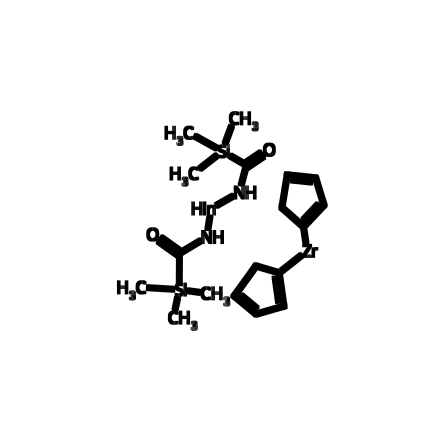 C1=CC[C]([Zr][C]2=CC=CC2)=C1.C[Si](C)(C)C(=O)[NH][InH][NH]C(=O)[Si](C)(C)C